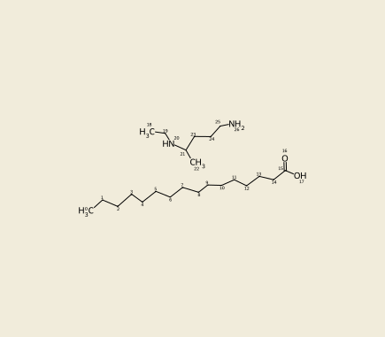 CCCCCCCCCCCCCCCC(=O)O.CCNC(C)CCCN